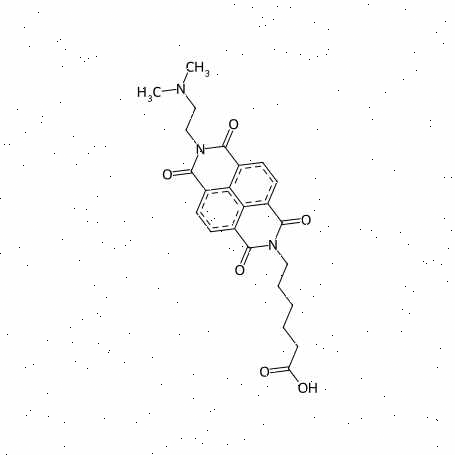 CN(C)CCN1C(=O)c2ccc3c4c(ccc(c24)C1=O)C(=O)N(CCCCCC(=O)O)C3=O